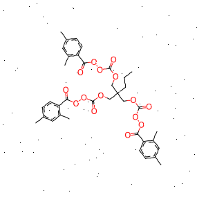 CCCC(COC(=O)OOC(=O)c1ccc(C)cc1C)(COC(=O)OOC(=O)c1ccc(C)cc1C)COC(=O)OOC(=O)c1ccc(C)cc1C